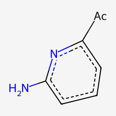 CC(=O)c1cccc(N)n1